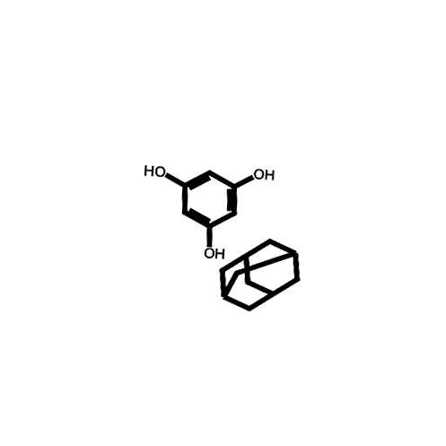 C1C2CC3CC1CC(C2)C3.Oc1cc(O)cc(O)c1